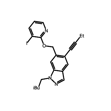 CCC#Cc1cc2cnn(CC(C)CC)c2cc1COc1ncccc1I